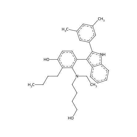 CCCCc1c(O)ccc(-c2c(-c3cc(C)cc(C)c3)[nH]c3ccccc23)c1N(CC)CCCCO